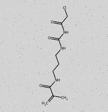 C=C(C)C(=O)NCCCNC(=O)NC(=O)CCl